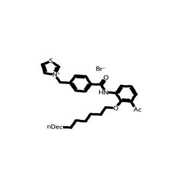 CCCCCCCCCCCCCCCCOc1c(NC(=O)c2ccc(C[n+]3ccsc3)cc2)cccc1C(C)=O.[Br-]